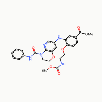 COC(=O)c1ccc(OCCNC(=O)OC(C)(C)C)c(Nc2cnc3c(c2)OCCN3C(=O)Nc2ccccc2)c1